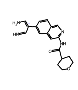 N=C/C(=C\N)c1ccc2cnc(NC(=O)C3CCOCC3)cc2c1